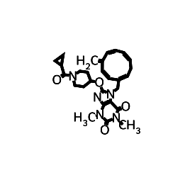 C=C1/C=C\C=C/C/C=C(Cn2c(OC3CCN(C(=O)C4CC4)CC3)nc3c2c(=O)n(C)c(=O)n3C)\C=C/1